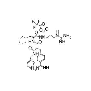 N=C(N)NCCC[C@H](NC(=O)[C@H](CC1CCCCC1)NC(=O)C(Cc1ccc(C(=N)N)cc1)C(=O)NCc1ccccc1)C(=O)OC(=O)C(F)(F)F